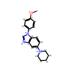 COc1ccc(-n2cnc3cc(N4CCCCC4)ccc32)cc1